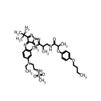 CCCCOc1ccc(OC(C)C(=O)NCC(C)c2nc3n(n2)N=C(C(C)(C)C)/C3=N/c2ccc(N(CC)CCNS(C)(=O)=O)cc2C)cc1